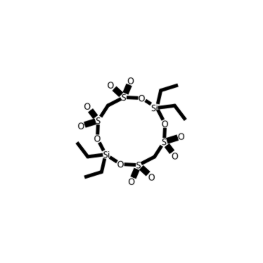 CC[Si]1(CC)OS(=O)(=O)CS(=O)(=O)O[Si](CC)(CC)OS(=O)(=O)CS(=O)(=O)O1